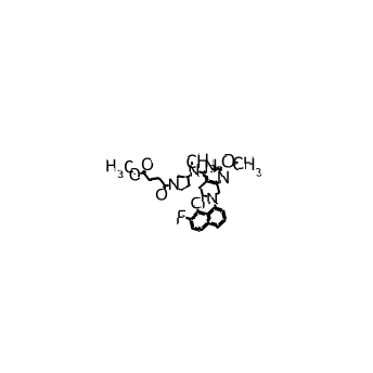 COC(=O)/C=C/C(=O)N1CCC(N(C)c2nc(OC)nc3c2CCN(c2cccc4ccc(F)c(Cl)c24)C3)C1